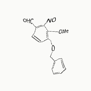 COc1c(OCc2ccccc2)ccc(C=O)c1N=O